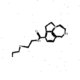 CCCOCCNC(=O)c1ccc2c3c1CCN3CCNC2